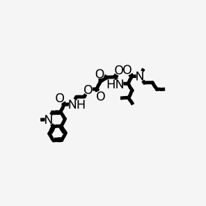 CCCCN(C)C(=O)C(CC(C)C)NC(=O)C1OC1C(=O)OCCNC(=O)C1=CN(C)c2ccccc2C1